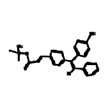 CC/C(=C(/c1ccc(O)cc1)c1ccc(/C=C/C(=O)O[Si](C)(C)C(C)(C)C)cc1)c1ccccc1